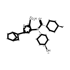 C[C@H]1CC[C@H](C(=O)N(c2cc(C3CC4CCC3C4)sc2C(=O)O)[C@H]2CC[C@H](O)CC2)CC1